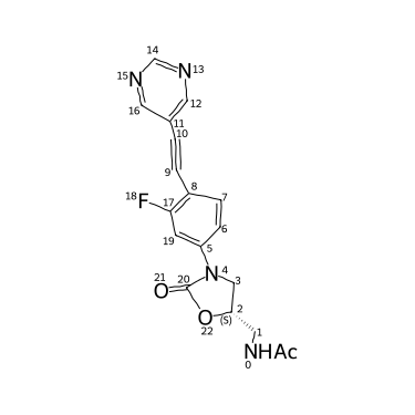 CC(=O)NC[C@H]1CN(c2ccc(C#Cc3cncnc3)c(F)c2)C(=O)O1